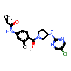 C=CC(=O)Nc1ccc(C(=O)N2CC[C@@H](Nc3ncc(Cl)cn3)C2)c(C)c1